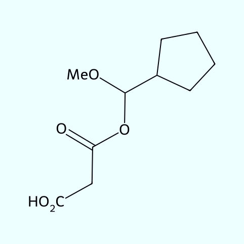 COC(OC(=O)CC(=O)O)C1CCCC1